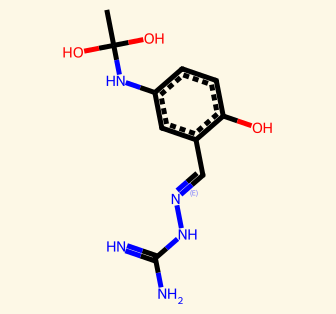 CC(O)(O)Nc1ccc(O)c(/C=N/NC(=N)N)c1